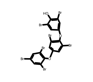 Oc1c(Br)cc(Oc2c(Br)cc(Oc3c(Br)cc(Br)cc3Br)cc2Br)cc1Br